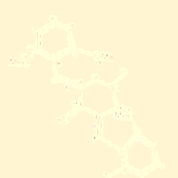 COc1cccc(C)c1/C=C1\CC(C)C/C(=C\c2c(OC)cccc2OC)C1=O